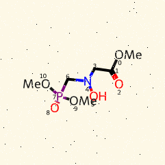 COC(=O)CN(O)CP(=O)(OC)OC